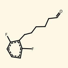 O=[C]CCCCCc1c(F)cccc1F